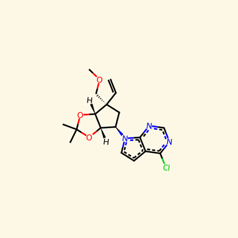 C=C[C@@]1(COC)C[C@@H](n2ccc3c(Cl)ncnc32)[C@@H]2OC(C)(C)O[C@@H]21